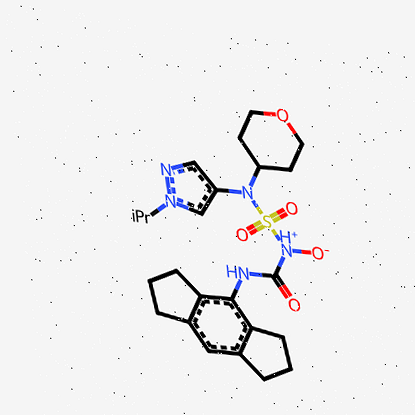 CC(C)n1cc(N(C2CCOCC2)S(=O)(=O)[NH+]([O-])C(=O)Nc2c3c(cc4c2CCC4)CCC3)cn1